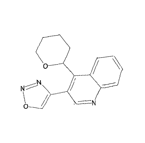 [c]1nc2ccccc2c(C2CCCCO2)c1-c1conn1